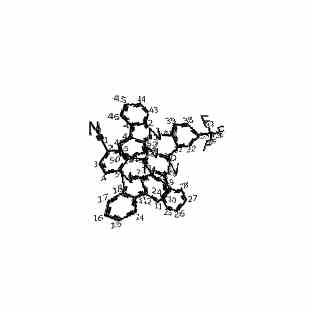 N#Cc1ccc(-n2c3ccccc3c3ccccc32)c(-c2nc(-c3ccccc3)nc(-c3cc(C(F)(F)F)ccc3-n3c4ccccc4c4ccccc43)n2)c1